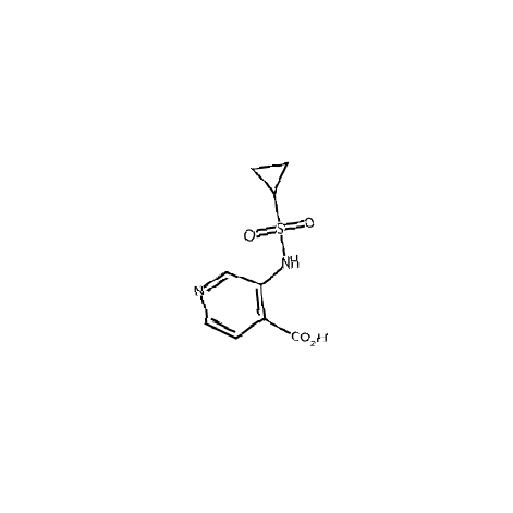 O=C(O)c1ccncc1NS(=O)(=O)C1CC1